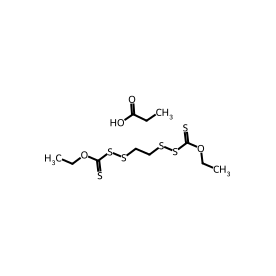 CCC(=O)O.CCOC(=S)SSCCSSC(=S)OCC